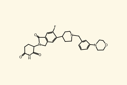 O=C1CCC(N2Cc3cc(C4CCN(Cc5cccc(N6CCOCC6)c5)CC4)c(F)cc3C2=O)C(=O)N1